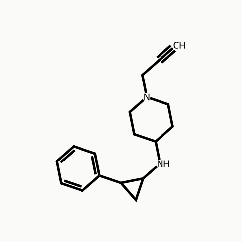 C#CCN1CCC(NC2CC2c2ccccc2)CC1